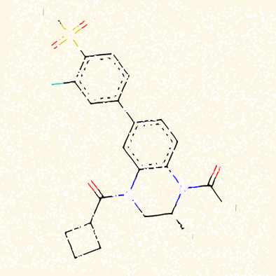 CC(=O)N1c2ccc(-c3ccc(S(C)(=O)=O)c(F)c3)cc2N(C(=O)C2CCC2)C[C@@H]1C